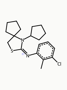 Cc1c(Cl)cccc1/N=C1/SCC2(CCCC2)N1C1CCCC1